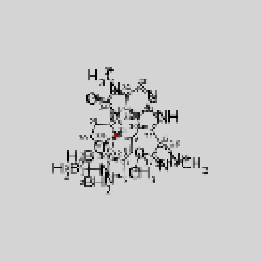 BC(B)(B)n1ncc2cc(-c3c(-c4cn(C)nc4OC)[nH]c4ncc5c(c34)n(C3CCOCC3)c(=O)n5C)ccc21